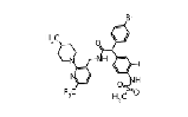 CC1CCN(c2nc(C(F)(F)F)ccc2CNC(=O)C(c2ccc(Br)cc2)c2ccc(NS(C)(=O)=O)c(F)c2)CC1